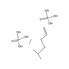 C=CCSC(C)C.CC.OP(O)(O)=S.OP(O)(O)=S